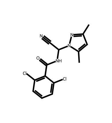 Cc1cc(C)n(C(C#N)NC(=O)c2c(Cl)cccc2Cl)n1